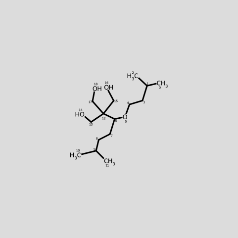 CC(C)CCOC(CCC(C)C)C(CO)(CO)CO